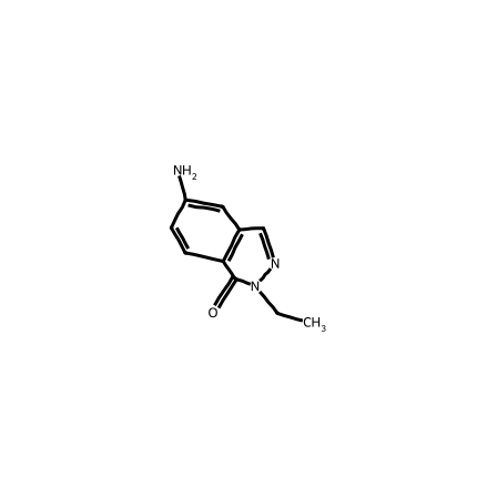 CCn1ncc2cc(N)ccc2c1=O